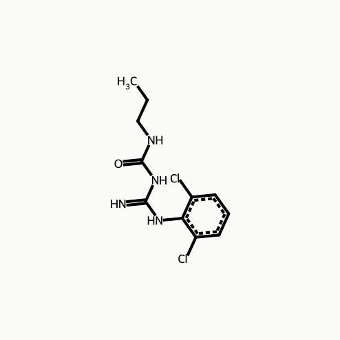 CCCNC(=O)NC(=N)Nc1c(Cl)cccc1Cl